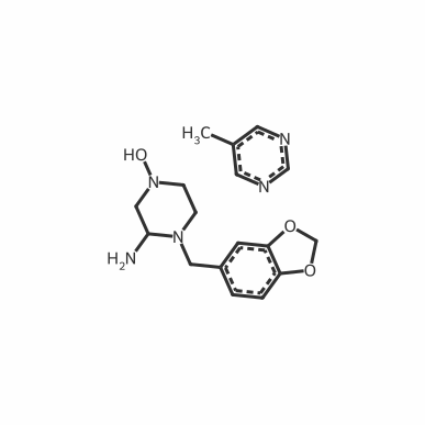 Cc1cncnc1.NC1CN(O)CCN1Cc1ccc2c(c1)OCO2